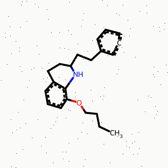 CCCCOc1cccc2c1NC(CCc1ccccc1)CC2